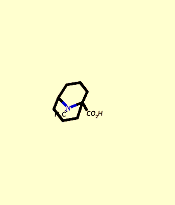 CN1C2CCCC1(C(=O)O)CCC2